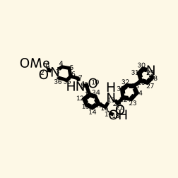 COC(=O)N1CCC(CNC(=O)c2cccc([C@@H](CO)NC(=O)c3ccc(-c4ccncc4)cc3)c2)CC1